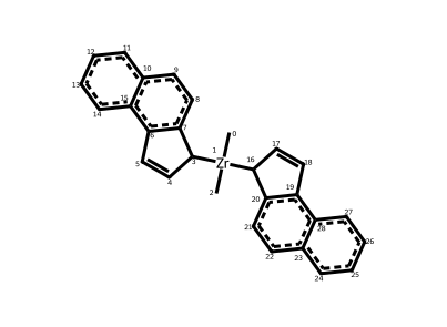 [CH3][Zr]([CH3])([CH]1C=Cc2c1ccc1ccccc21)[CH]1C=Cc2c1ccc1ccccc21